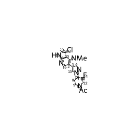 CNc1c(-c2cnn([C@H]3CCN(C(C)=O)C[C@@H]3F)c2)cnc2[nH]cc(Cl)c12